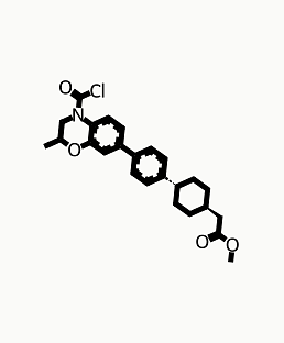 COC(=O)C[C@H]1CC[C@H](c2ccc(-c3ccc4c(c3)OC(C)CN4C(=O)Cl)cc2)CC1